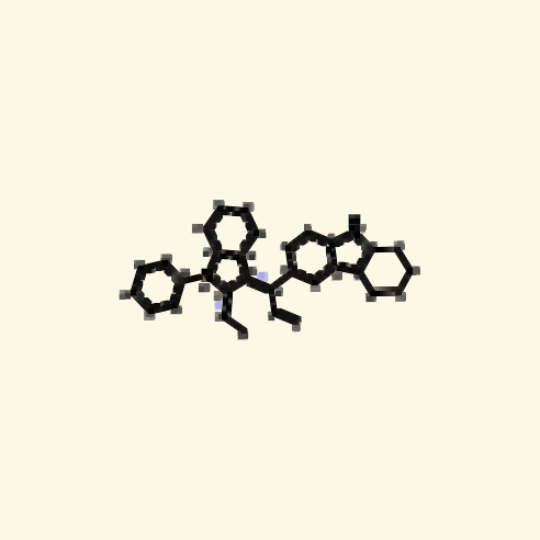 C=C/C(c1ccc2[nH]c3c(c2c1)C=CCC3)=c1\c(=C/C)n(-c2ccccc2)c2ccccc12